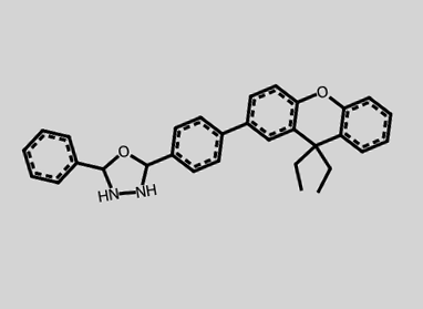 CCC1(CC)c2ccccc2Oc2ccc(-c3ccc(C4NNC(c5ccccc5)O4)cc3)cc21